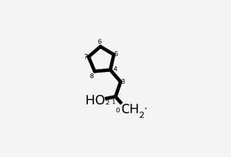 [CH2]C(O)CC1CCCC1